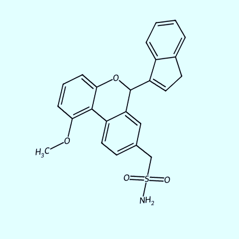 COc1cccc2c1-c1ccc(CS(N)(=O)=O)cc1C(C1=CCc3ccccc31)O2